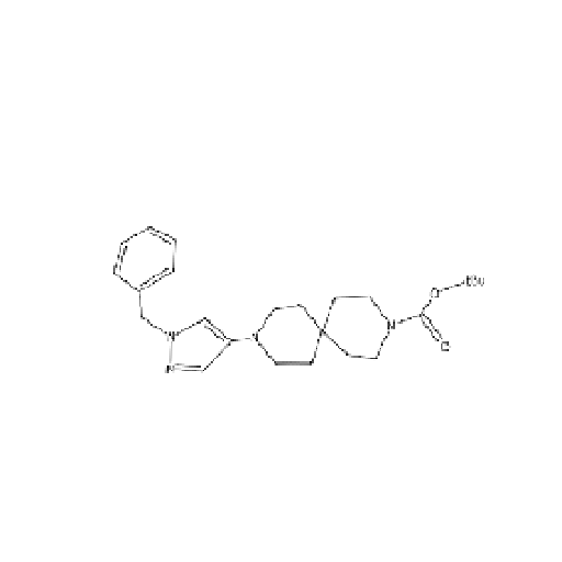 CC(C)(C)OC(=O)N1CCC2(CC1)CCN(c1cnn(Cc3ccccc3)c1)CC2